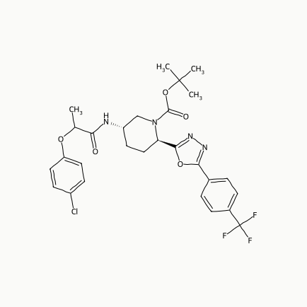 CC(Oc1ccc(Cl)cc1)C(=O)N[C@H]1CC[C@H](c2nnc(-c3ccc(C(F)(F)F)cc3)o2)N(C(=O)OC(C)(C)C)C1